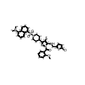 COc1ccccc1C(=O)n1nc(C2CCN(S(=O)(=O)c3cccc4c(N(C)C)cccc34)CC2)c(F)c1NCc1ccc(Cl)s1